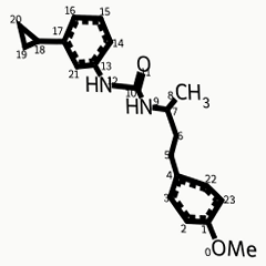 COc1ccc(CCC(C)NC(=O)Nc2cccc(C3CC3)c2)cc1